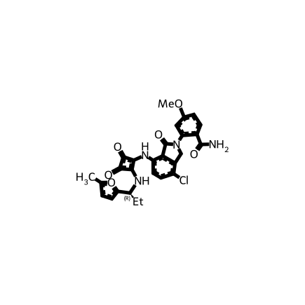 CC[C@@H](Nc1c(Nc2ccc(Cl)c3c2C(=O)N(c2cc(OC)ccc2C(N)=O)C3)c(=O)c1=O)c1ccc(C)o1